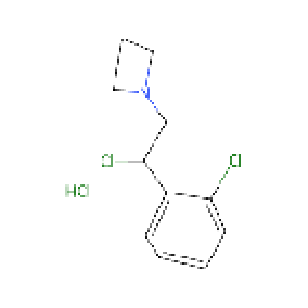 Cl.Clc1ccccc1C(Cl)CN1CCC1